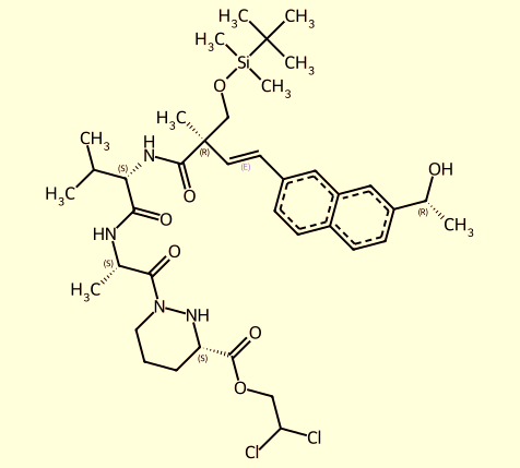 CC(C)[C@H](NC(=O)[C@](C)(/C=C/c1ccc2ccc([C@@H](C)O)cc2c1)CO[Si](C)(C)C(C)(C)C)C(=O)N[C@@H](C)C(=O)N1CCC[C@@H](C(=O)OCC(Cl)Cl)N1